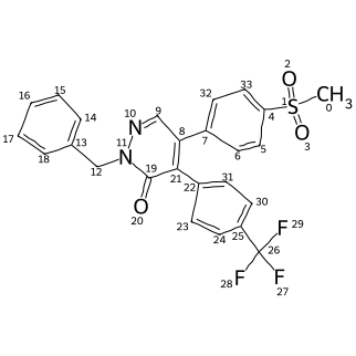 CS(=O)(=O)c1ccc(-c2cnn(Cc3ccccc3)c(=O)c2-c2ccc(C(F)(F)F)cc2)cc1